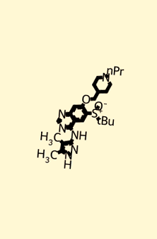 CCCN1CCC(COc2cc3ncnc(Nc4n[nH]c(C)c4C)c3cc2[S+]([O-])C(C)(C)C)CC1